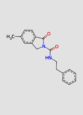 Cc1ccc2c(c1)CN(C(=O)NCCc1ccccc1)C2=O